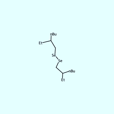 CCCCC(CC)C[Se][Se]CC(CC)CCCC